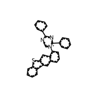 c1ccc(-c2nc[n+](-c3cccc4cc5c(cc34)sc3ccccc35)c(-c3ccccc3)n2)cc1